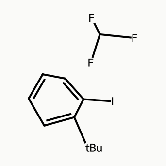 CC(C)(C)c1ccccc1I.FC(F)F